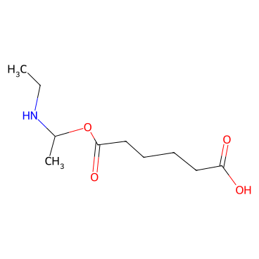 CCNC(C)OC(=O)CCCCC(=O)O